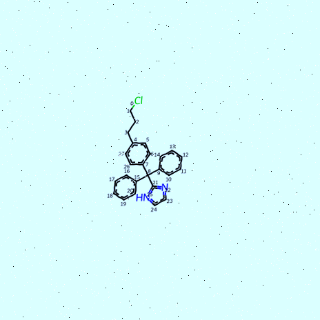 ClCCCc1ccc(C(c2ccccc2)(c2ccccc2)c2ncc[nH]2)cc1